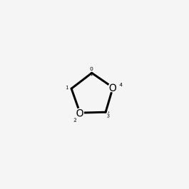 [CH]1CO[CH]O1